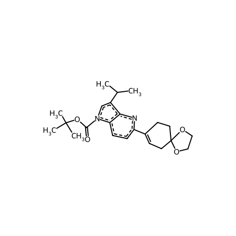 CC(C)c1cn(C(=O)OC(C)(C)C)c2ccc(C3=CCC4(CC3)OCCO4)nc12